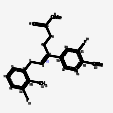 COC(=O)CC/C(=C\Cc1cccc(F)c1C)c1cnc(OC)c(F)c1